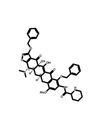 COc1cc(NC(=O)C2CCCCN2)c(OCc2ccccc2)c2c1C[C@H]1C[C@H]3[C@H](N(C)C)c4onc(OCc5ccccc5)c4C(=O)[C@@]3(O)C(O)=C1C2=O